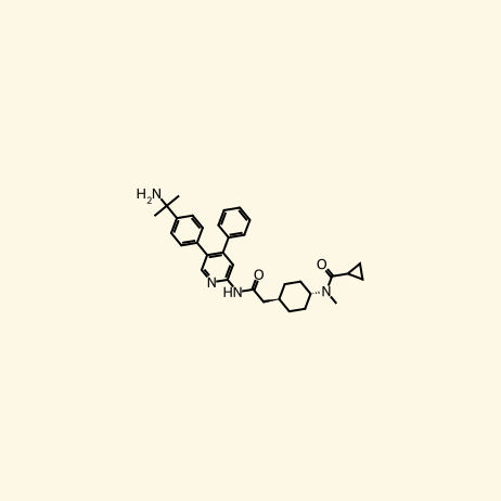 CN(C(=O)C1CC1)[C@H]1CC[C@H](CC(=O)Nc2cc(-c3ccccc3)c(-c3ccc(C(C)(C)N)cc3)cn2)CC1